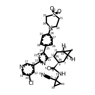 N#CC1(NC(=O)[C@@H]2C[C@H]3C[C@H]3C[C@H]2c2nc(-c3cncc(Cl)c3)sc2-c2ccc(N3CCS(=O)(=O)CC3)cc2)CC1